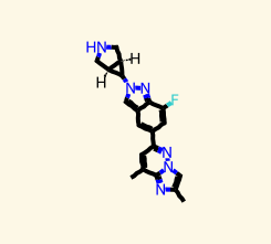 Cc1cn2nc(-c3cc(F)c4nn(C5[C@H]6CNC[C@@H]56)cc4c3)cc(C)c2n1